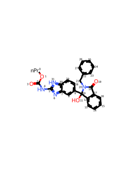 CCCOC(=O)Nc1nc2cc(C3(O)c4ccccc4C(=O)N3Cc3ccccc3)ccc2[nH]1